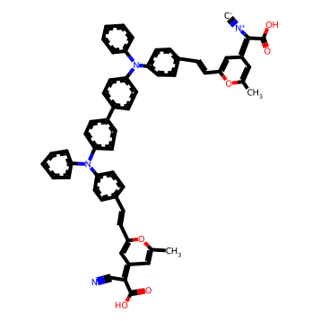 [C-]#[N+]/C(C(=O)O)=C1/C=C(C)OC(/C=C/c2ccc(N(c3ccccc3)c3ccc(-c4ccc(N(c5ccccc5)c5ccc(/C=C/C6=CC(=C(\C#N)C(=O)O)/C=C(C)O6)cc5)cc4)cc3)cc2)=C1